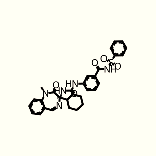 CN1C(=O)[C@](NC(=O)Nc2cccc(C(=O)NS(=O)(=O)c3ccccc3)c2)(C2CCCCC2)N=Cc2ccccc21